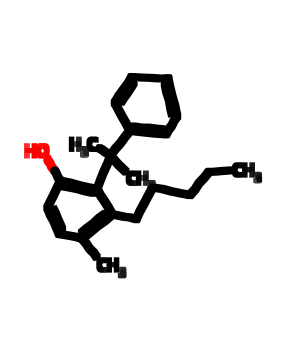 CCCCCc1c(C)ccc(O)c1C(C)(C)c1ccccc1